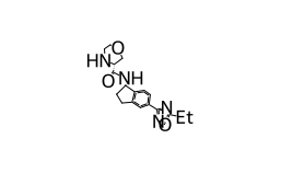 CCc1nc(-c2ccc3c(c2)CC[C@H]3NC(=O)[C@H]2COCCN2)no1